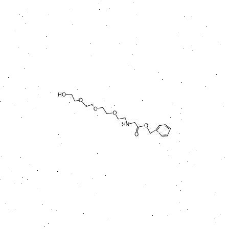 O=C(CNCCOCCOCCOCCO)OCc1ccccc1